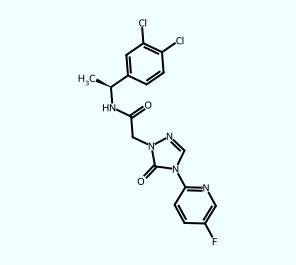 C[C@H](NC(=O)Cn1ncn(-c2ccc(F)cn2)c1=O)c1ccc(Cl)c(Cl)c1